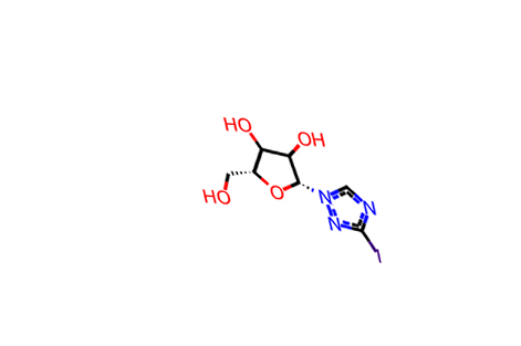 OC[C@H]1O[C@@H](n2cnc(I)n2)C(O)C1O